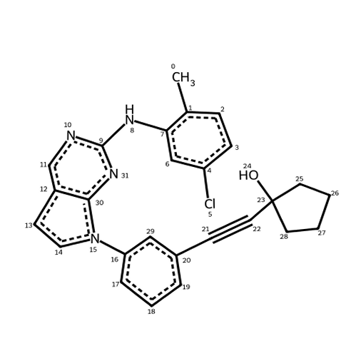 Cc1ccc(Cl)cc1Nc1ncc2ccn(-c3cccc(C#CC4(O)CCCC4)c3)c2n1